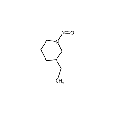 CCC1CCCN(N=O)C1